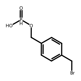 O=[PH](O)OCc1ccc(CBr)cc1